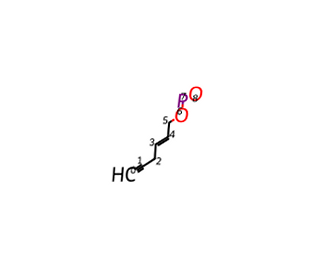 C#CCC=CCOP=O